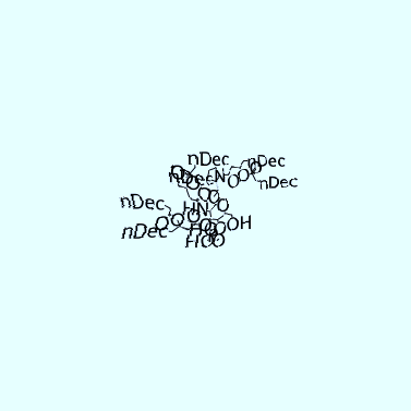 CCCCCCCCCCCC(=O)O[C@H](CCCCCCCCCCC)CC(=O)NC1[C@H](OC[C@@H]2CCCN2C(=O)C[C@@H](CCCCCCCCCCC)OC(=O)CCCCCCCCCCC)OC(CO)[C@@H](OP(=O)(O)O)[C@@H]1OC(=O)C[C@@H](CCCCCCCCCCC)OC(=O)CCCCCCCCCCC